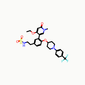 CCOc1cc(=O)n(C)cc1-c1cc(CCN[SH](=O)=O)ccc1OC1CCN(c2ccc(C(F)(F)F)cc2)CC1